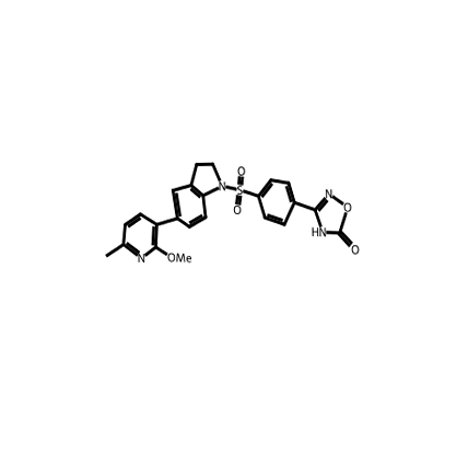 COc1nc(C)ccc1-c1ccc2c(c1)CCN2S(=O)(=O)c1ccc(-c2noc(=O)[nH]2)cc1